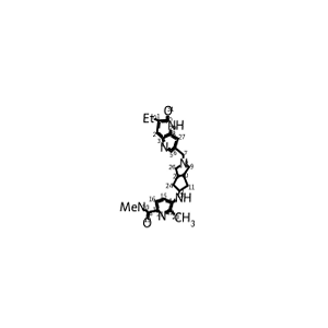 CCc1cc2ncc(CN3CC4CC(Nc5ccc(C(=O)NC)nc5C)CC4C3)cc2[nH]c1=O